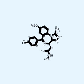 COc1ccc2c(c1)C(c1ccc(Cl)cc1)=N[C@H](CC(=O)NC(C)C)c1nnc(C)n1-2